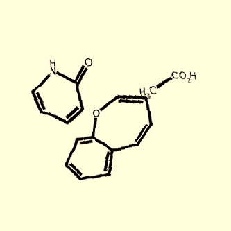 C1=COc2ccccc2C=C1.CC(=O)O.O=c1cccc[nH]1